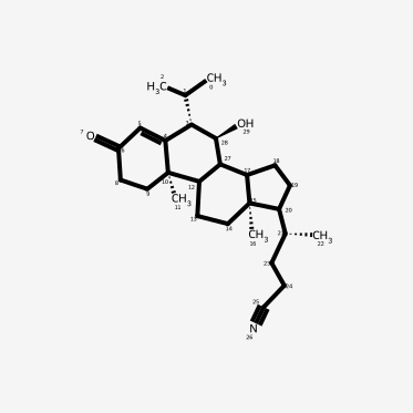 CC(C)[C@H]1C2=CC(=O)CC[C@]2(C)C2CC[C@@]3(C)C(CCC3[C@H](C)CCC#N)C2[C@@H]1O